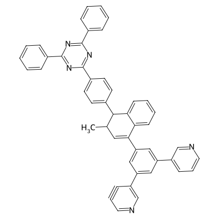 CC1C=C(c2cc(-c3c#ccnc3)cc(-c3cccnc3)c2)c2ccccc2C1c1ccc(-c2nc(-c3ccccc3)nc(-c3ccccc3)n2)cc1